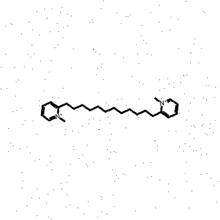 C[n+]1ccccc1CCCCCCCCCCCCc1cccc[n+]1C